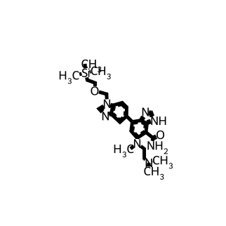 CN(C)CCN(C)c1cc(-c2ccc3c(c2)ncn3COCC[Si](C)(C)C)c2nc[nH]c2c1C(N)=O